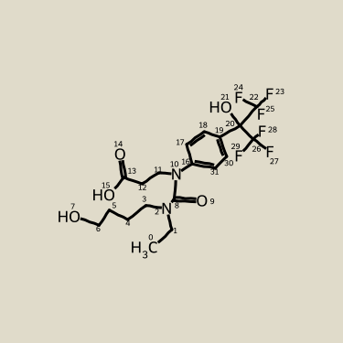 CCN(CCCCO)C(=O)N(CCC(=O)O)c1ccc(C(O)(C(F)(F)F)C(F)(F)F)cc1